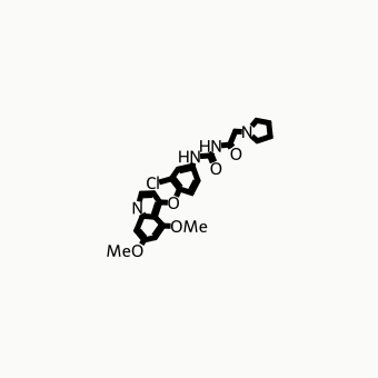 COc1cc(OC)c2c(Oc3ccc(NC(=O)NC(=O)CN4CCCC4)cc3Cl)ccnc2c1